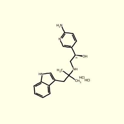 CC(C)(Cc1c[nH]c2ccccc12)NC[C@H](O)c1ccc(N)nc1.Cl.Cl